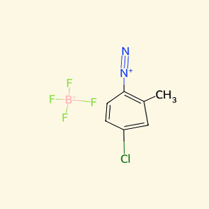 Cc1cc(Cl)ccc1[N+]#N.F[B-](F)(F)F